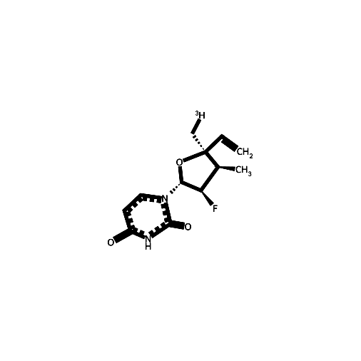 [3H]C[C@@]1(C=C)O[C@@H](n2ccc(=O)[nH]c2=O)[C@H](F)[C@@H]1C